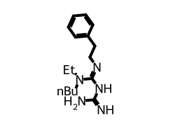 CCCCN(CC)C(=NCCc1ccccc1)NC(=N)N